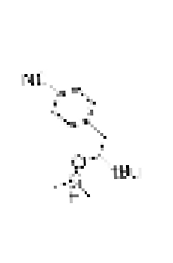 C[SiH](C)OC(Cc1ccc(C#N)cc1)C(C)(C)C